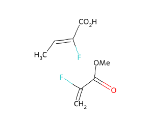 C=C(F)C(=O)OC.CC=C(F)C(=O)O